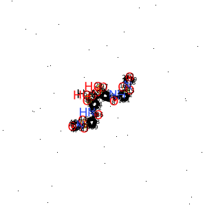 CC(c1ccc(NC(=O)c2cccc(S(=O)(=O)N3CCOCC3)c2)cc1S(=O)(=O)O)c1ccc(NC(=O)c2cccc(S(=O)(=O)N3CCOCC3)c2)cc1S(=O)(=O)O